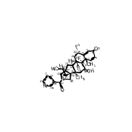 C[C@]12C=CC(=O)C=C1[C@@H](F)C[C@H]1[C@@H]3C[C@H]4CN(C(=O)c5cccnc5)C[C@@]4(C(=O)CO)[C@@]3(C)C[C@H](O)[C@@]12F